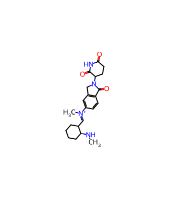 CN[C@H]1CCCCC1/C=[N+](\C)c1ccc2c(c1)CN(C1CCC(=O)NC1=O)C2=O